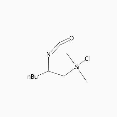 CCCCC(C[Si](C)(C)Cl)N=C=O